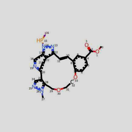 COC(=O)c1ccc2c(c1)/C=C/c1nn(PI)c3cnc(cc13)-c1cnn(C)c1COCCO2